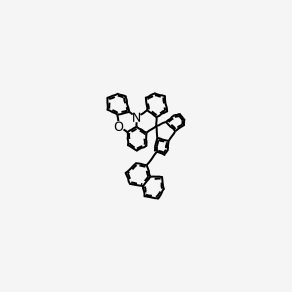 c1ccc2c(c1)Oc1cccc3c1N2c1ccccc1C31c2ccccc2-c2ccc(-c3cccc4ccccc34)cc21